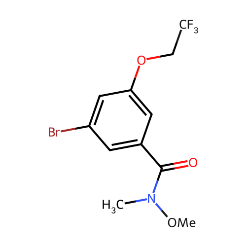 CON(C)C(=O)c1cc(Br)cc(OCC(F)(F)F)c1